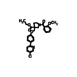 CCOC(=O)C1(COc2ccc(-c3ccc(Cl)cn3)cc2)CCN(C(=O)c2ccccc2OC)C1